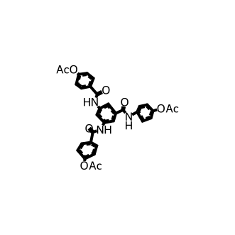 CC(=O)Oc1ccc(NC(=O)c2cc(NC(=O)c3ccc(OC(C)=O)cc3)cc(NC(=O)c3ccc(OC(C)=O)cc3)c2)cc1